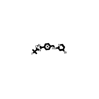 CC(C)(F)c1nc(C23CCC(CNc4cc(Br)ccn4)(CC2)CC3)no1